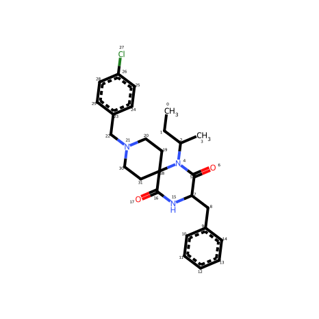 CCC(C)N1C(=O)C(Cc2ccccc2)NC(=O)C12CCN(Cc1ccc(Cl)cc1)CC2